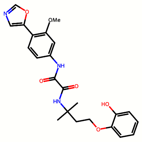 COc1cc(NC(=O)C(=O)NC(C)(C)CCOc2ccccc2O)ccc1-c1cnco1